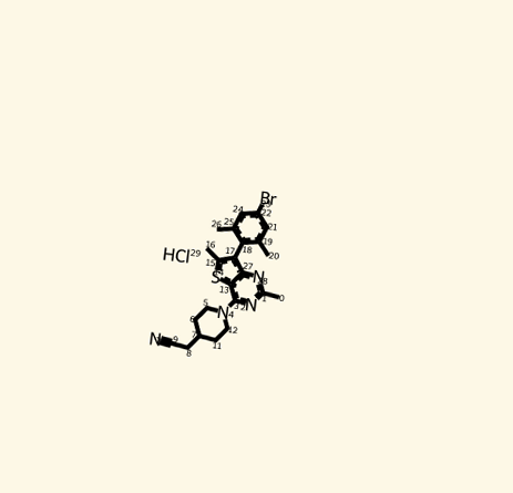 Cc1nc(N2CCC(CC#N)CC2)c2sc(C)c(-c3c(C)cc(Br)cc3C)c2n1.Cl